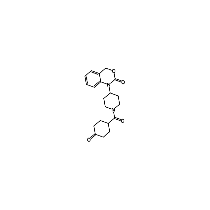 O=C1CCC(C(=O)N2CCC(N3C(=O)OCc4ccccc43)CC2)CC1